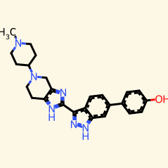 CN1CCC(N2CCc3[nH]c(-c4n[nH]c5cc(-c6ccc(O)cc6)ccc45)nc3C2)CC1